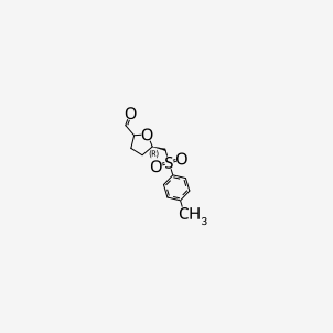 Cc1ccc(S(=O)(=O)C[C@H]2CCC(C=O)O2)cc1